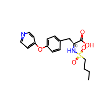 CCCCS(=O)(=O)N[C@@H](Cc1ccc(Oc2ccncc2)cc1)C(=O)O